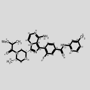 COC(C)C(=O)N1C[C@H](c2nc(-c3ccc(C(=O)Nc4cc(C(F)(F)F)ccn4)cc3F)c3c(N)nccn23)OC[C@@H]1C